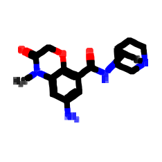 CN1C(=O)COc2c(C(=O)NC3CN4CCC3CC4)cc(N)cc21